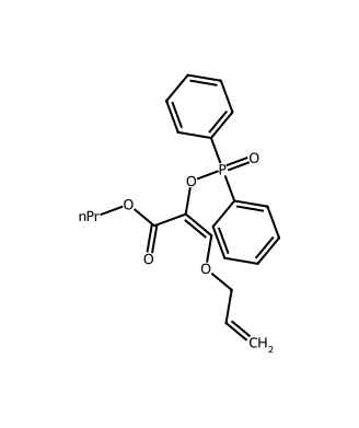 C=CCOC=C(OP(=O)(c1ccccc1)c1ccccc1)C(=O)OCCC